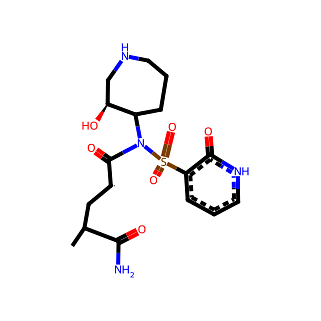 CC(C[CH]C(=O)N(C1CCCNC[C@@H]1O)S(=O)(=O)c1ccc[nH]c1=O)C(N)=O